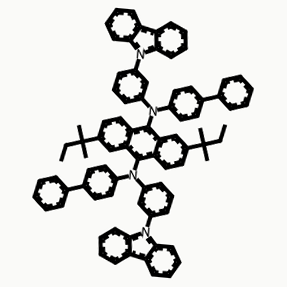 CCC(C)(C)c1ccc2c(N(c3ccc(-c4ccccc4)cc3)c3cccc(-n4c5ccccc5c5ccccc54)c3)c3cc(C(C)(C)CC)ccc3c(N(c3ccc(-c4ccccc4)cc3)c3cccc(-n4c5ccccc5c5ccccc54)c3)c2c1